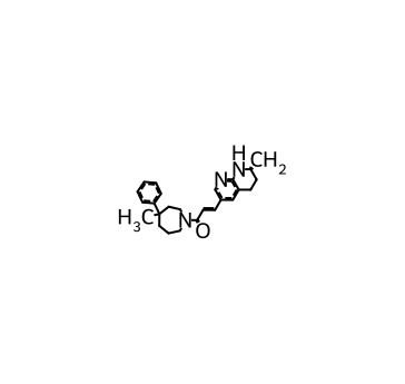 C=C1CCc2cc(/C=C/C(=O)N3CCCC(C)(c4ccccc4)CC3)cnc2N1